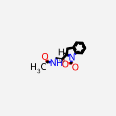 CC(=O)NC[C@@H]1OC(=O)N2c3ccccc3C[C@@H]12